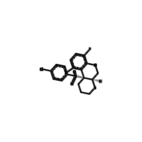 O=S(=O)(c1ccc(Cl)cc1)[C@@]12CCCS[C@@H]1COc1c(F)ccc(F)c12